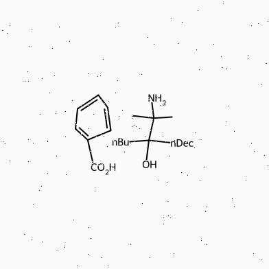 CCCCCCCCCCC(O)(CCCC)C(C)(C)N.O=C(O)c1ccccc1